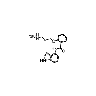 CC(C)(C)NCCCOc1ccccc1C(=O)Nc1cccc2[nH]ccc12